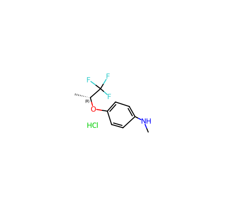 CNc1ccc(O[C@H](C)C(F)(F)F)cc1.Cl